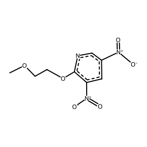 COCCOc1ncc([N+](=O)[O-])cc1[N+](=O)[O-]